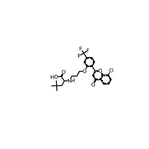 CC(C)(C)CC(NCCCOc1cc(C(F)(F)F)ccc1-c1cc(=O)c2cccc(Cl)c2o1)C(=O)O